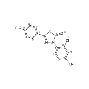 N#Cc1ccc(N2N=C(c3ccc(Cl)cc3)CC2=O)c(Cl)c1